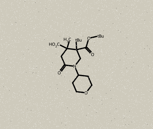 CC(C)(C)OC(=O)C1(C(C)(C)C)CN(C2CCOCC2)C(=O)CC1(C)C(=O)O